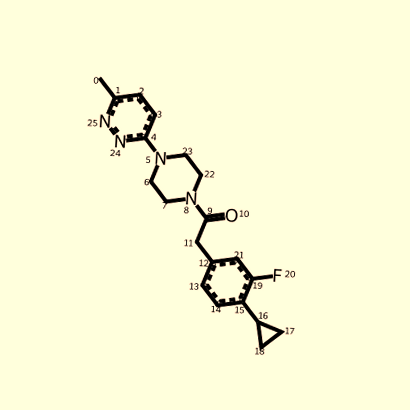 Cc1ccc(N2CCN(C(=O)Cc3ccc(C4CC4)c(F)c3)CC2)nn1